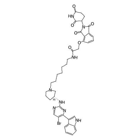 O=C(COc1cccc2c1C(=O)N(C1CCC(=O)NC1=O)C2=O)NCCCCCCCN1CCC[C@@H](Nc2ncc(Br)c(-c3c[nH]c4ccccc34)n2)C1